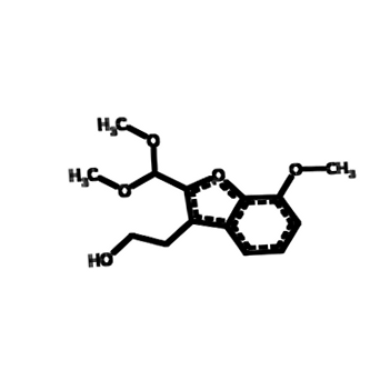 COc1cccc2c(CCO)c(C(OC)OC)oc12